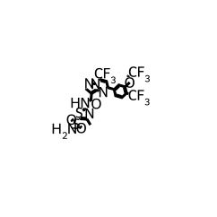 Cc1nc(NC(=O)c2cnn3c(C(F)(F)F)cc(-c4ccc(C(F)(F)F)c(OCC(F)(F)F)c4)nc23)sc1S(N)(=O)=O